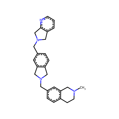 CN1CCc2ccc(CN3Cc4ccc(CN5Cc6cccnc6C5)cc4C3)cc2C1